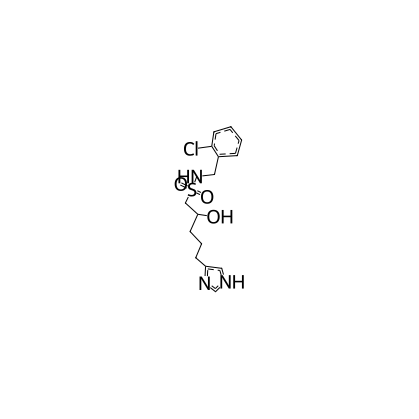 O=S(=O)(CC(O)CCCc1c[nH]cn1)NCc1ccccc1Cl